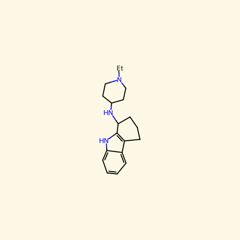 CCN1CCC(NC2CCCc3c2[nH]c2ccccc32)CC1